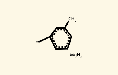 [CH2]c1cccc(F)c1.[MgH2]